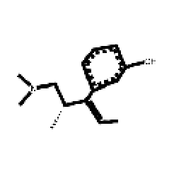 C/C=C(\c1cccc(O)c1)[C@H](C)CN(C)C